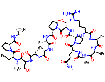 CC[C@H](C)[C@H](NC(=O)[C@@H](NC(=O)[C@@H](NC(=O)[C@@H](N)CCCNC(=N)N)C(C)C)C(C)C)C(=O)N[C@@H](CCC(N)=O)C(=O)N1CCC[C@H]1C(=O)N[C@@H](CO)C(=O)N1CCC[C@H]1C(=O)N[C@H](C(=O)N[C@H](C(=O)N[C@H](C(=O)N[C@H](C(=O)N[C@@H](CC(C)C)C(=O)N1CCC[C@H]1C(=O)NCC(=O)O)[C@@H](C)O)C(C)C)C(C)C)C(C)C